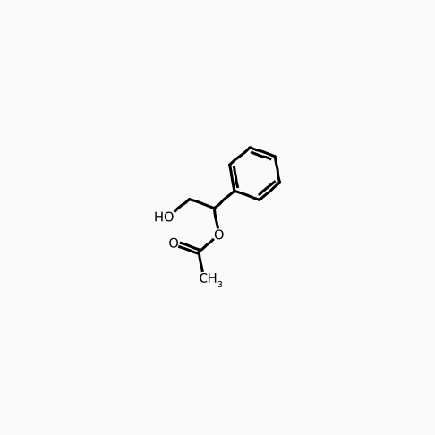 CC(=O)OC(CO)c1ccccc1